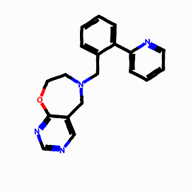 c1ccc(-c2ccccc2CN2CCOc3ncncc3C2)nc1